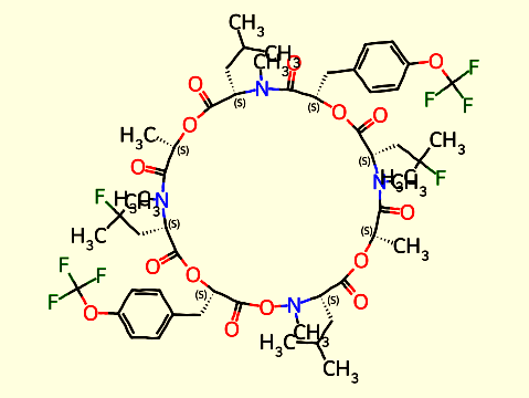 CC(C)C[C@H]1C(=O)O[C@@H](C)C(=O)N(C)[C@@H](CC(C)(C)F)C(=O)O[C@@H](Cc2ccc(OC(F)(F)F)cc2)C(=O)N(C)[C@@H](CC(C)C)C(=O)O[C@@H](C)C(=O)N(C)[C@@H](CC(C)(C)F)C(=O)O[C@@H](Cc2ccc(OC(F)(F)F)cc2)C(=O)ON1C